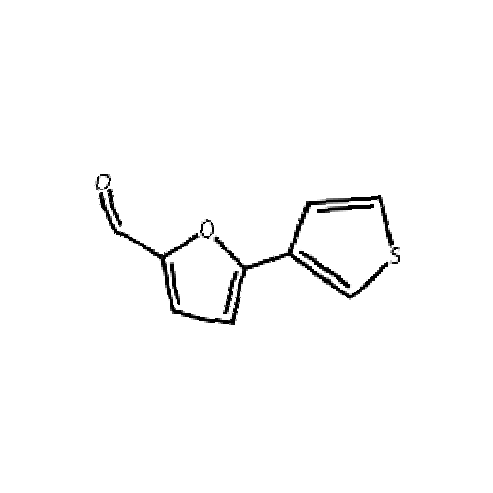 O=Cc1ccc(-c2ccsc2)o1